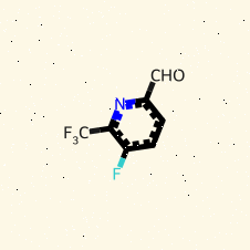 O=Cc1ccc(F)c(C(F)(F)F)n1